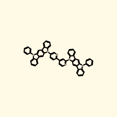 c1ccc(-n2c3ccccc3c3cc4c(cc32)c2ccccc2n4-c2ccc(-c3ccnc(-n4c5ccccc5c5cc6c(cc54)c4ccccc4n6-c4ccccc4)c3)nc2)cc1